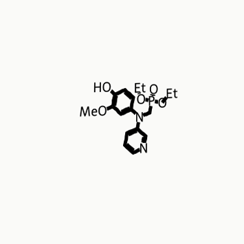 CCOP(=O)(CN(c1cccnc1)c1ccc(O)c(OC)c1)OCC